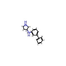 c1ccc(-c2cccc(NC3CCNC3)c2)cc1